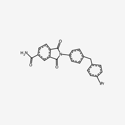 CC(C)c1ccc(Cc2ccc(N3C(=O)c4ccc(C(N)=O)cc4C3=O)cc2)cc1